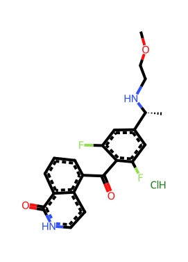 COCCN[C@H](C)c1cc(F)c(C(=O)c2cccc3c(=O)[nH]ccc23)c(F)c1.Cl